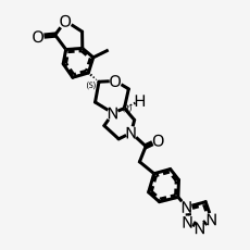 Cc1c([C@H]2CN3CCN(C(=O)Cc4ccc(-n5cnnn5)cc4)C[C@@H]3CO2)ccc2c1COC2=O